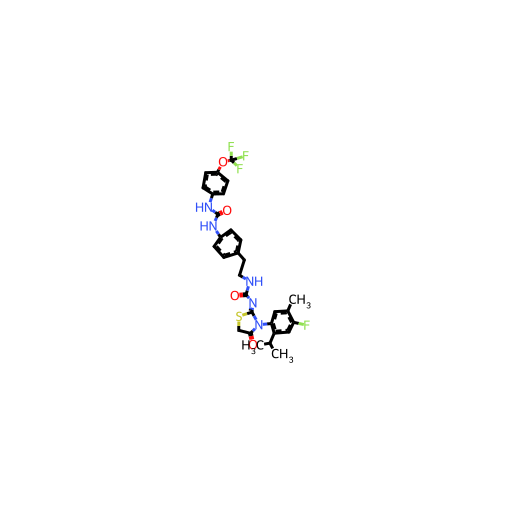 Cc1cc(N2C(=O)CSC2=NC(=O)NCCc2ccc(NC(=O)Nc3ccc(OC(F)(F)F)cc3)cc2)c(C(C)C)cc1F